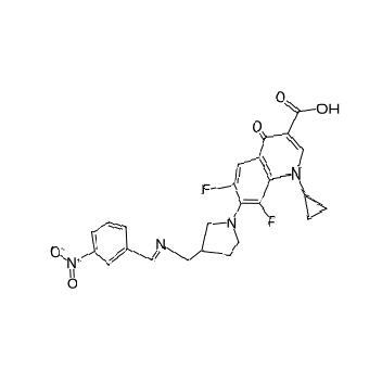 O=C(O)c1cn(C2CC2)c2c(F)c(N3CCC(CN=Cc4cccc([N+](=O)[O-])c4)C3)c(F)cc2c1=O